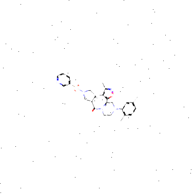 Cc1ccc(C)c(N2CCN(C(=O)C3CN(S(=O)(=O)c4cccnc4)C[C@H]3c3c(C)noc3C)CC2)c1